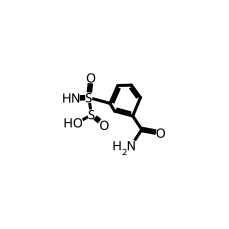 N=S(=O)(c1cccc(C(N)=O)c1)S(=O)O